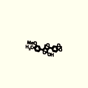 COc1cc(C2OC(O)C3C(c4ccc5c(c4)OCO5)OCC23)ccc1C